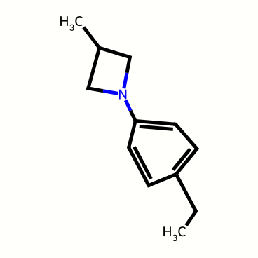 CCc1ccc(N2CC(C)C2)cc1